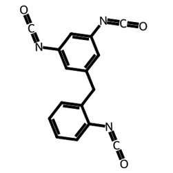 O=C=Nc1cc(Cc2ccccc2N=C=O)cc(N=C=O)c1